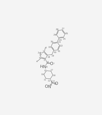 Cc1sc(C)c(C(=O)N[C@H]2CC[C@H](C(=O)N=O)CC2)c1Cc1ccc(-c2ccccc2)cc1